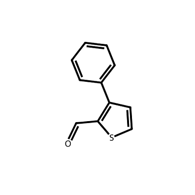 O=Cc1sccc1-c1ccccc1